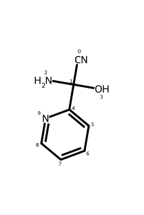 N#CC(N)(O)c1ccccn1